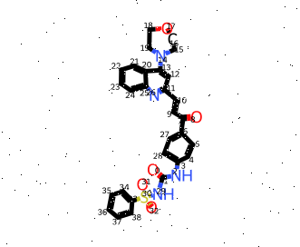 O=C(Nc1ccc(C(=O)C=Cc2cc(N3CCOCC3)c3ccccc3n2)cc1)NS(=O)(=O)c1ccccc1